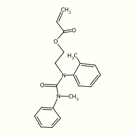 C=CC(=O)OCCN(C(=O)N(C)c1ccccc1)c1ccccc1C